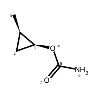 C[C@@H]1C[C@@H]1OC(N)=O